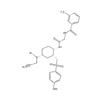 C#CCN(C(C)C)[C@@H]1CC[C@H](NC(=O)CNC(=O)c2cccc(C(F)(F)F)c2)[C@H](CS(=O)(=O)c2ccc(SC)cc2)C1